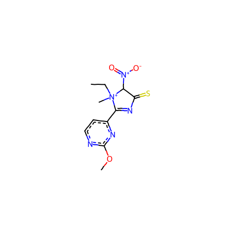 CC[N+]1(C)C(c2ccnc(OC)n2)=NC(=S)C1[N+](=O)[O-]